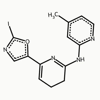 Cc1ccnc(NC2=NC(c3cnc(I)o3)=CCC2)c1